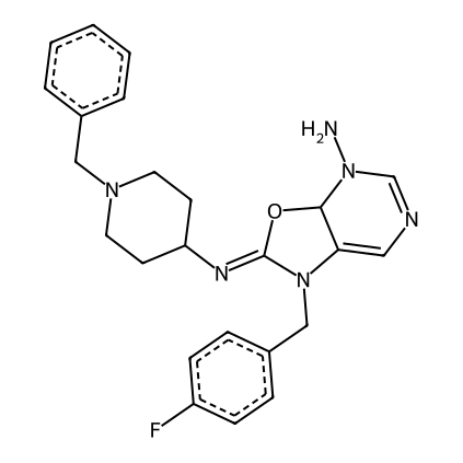 NN1C=NC=C2C1OC(=NC1CCN(Cc3ccccc3)CC1)N2Cc1ccc(F)cc1